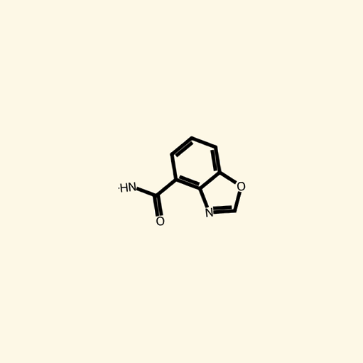 [NH]C(=O)c1cccc2ocnc12